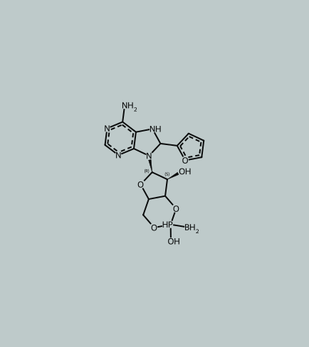 B[PH]1(O)OCC2O[C@@H](N3c4ncnc(N)c4NC3c3ccco3)[C@@H](O)C2O1